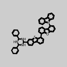 C1=CCCC(C2NC(C3=CCCC=C3)NC(c3ccc4c(c3)sc3c(-c5cccc6c5oc5cccc(-n7c8ccccc8c8ccccc87)c56)cccc34)N2)=C1